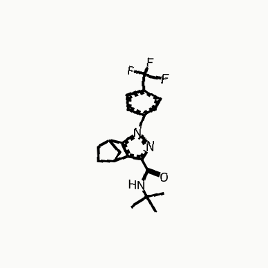 CC(C)(C)NC(=O)c1nn(-c2ccc(C(F)(F)F)cc2)c2c1C1CCC2C1